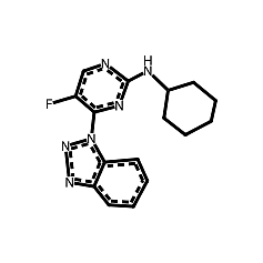 Fc1cnc(NC2CCCCC2)nc1-n1nnc2ccccc21